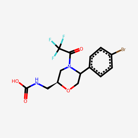 O=C(O)NC[C@H]1CN(C(=O)C(F)(F)F)C(c2ccc(Br)cc2)CO1